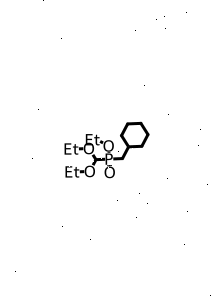 CCOC(OCC)P(=O)(CC1CCCCC1)OCC